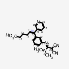 CN(C)C(=Nc1cccc(/C(=C\CCCC(=O)O)c2cccnc2)c1)C(C#N)C#N